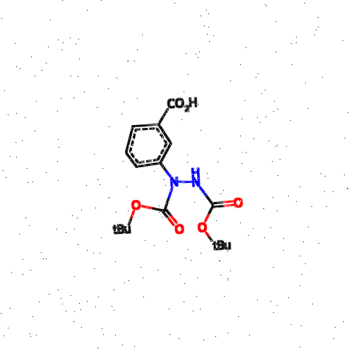 CC(C)(C)OC(=O)NN(C(=O)OC(C)(C)C)c1cccc(C(=O)O)c1